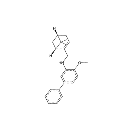 COc1ccc(-c2ccccc2)cc1NCC1=CC[C@H]2C[C@@H]1C2(C)C